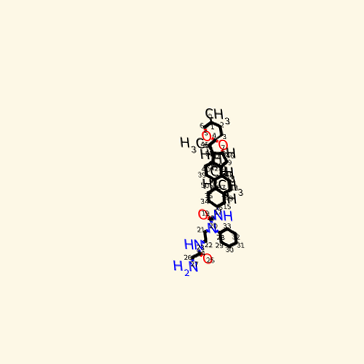 C[C@H]1CC[C@@]2(OC1)O[C@H]1C[C@H]3[C@@H]4CC[C@@H]5C[C@H](NC(=O)N(CCNC(=O)CN)C6CCCCC6)CC[C@]5(C)[C@H]4CC[C@]3(C)[C@H]1[C@@H]2C